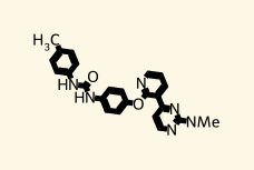 CNc1nccc(-c2cccnc2Oc2ccc(NC(=O)Nc3ccc(C)cc3)cc2)n1